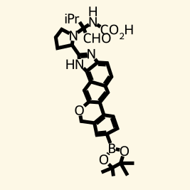 CC(C)C(C=O)(NC(=O)O)N1CCCC1c1nc2ccc3cc4c(cc3c2[nH]1)OCc1cc(B2OC(C)(C)C(C)(C)O2)ccc1-4